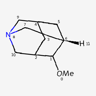 COC1C2CC3C[C@H]1CN(C3)C2